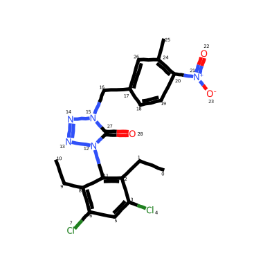 CCc1c(Cl)cc(Cl)c(CC)c1-n1nnn(Cc2ccc([N+](=O)[O-])c(C)c2)c1=O